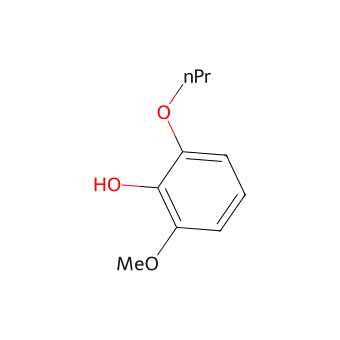 [CH2]CCOc1cccc(OC)c1O